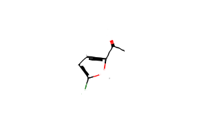 CC(=O)c1ccc(Cl)o1